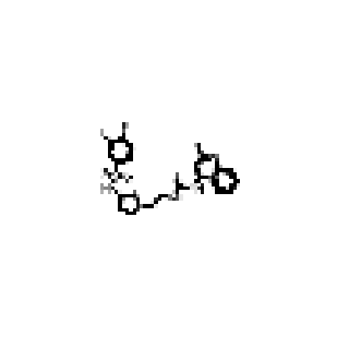 Cc1cc(NC(=O)NCCN2CCC(NS(=O)(=O)c3ccc(F)c(F)c3)C2)c2ccccc2n1